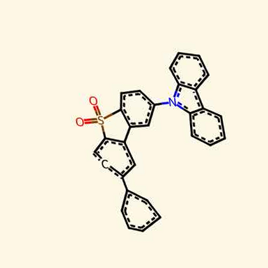 O=S1(=O)c2ccc(-c3ccccc3)cc2-c2cc(-n3c4ccccc4c4ccccc43)ccc21